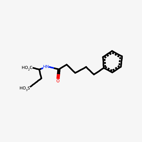 O=C(CCCCc1ccccc1)NC(CS(=O)(=O)O)C(=O)O